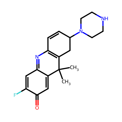 CC1(C)C2=CC(=O)C(F)=CC2=NC2=C1CC(N1CCNCC1)C=C2